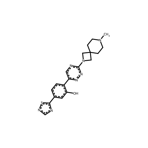 CN1CCC2(CC1)CN(c1ncc(-c3ccc(-c4ncns4)cc3O)nn1)C2